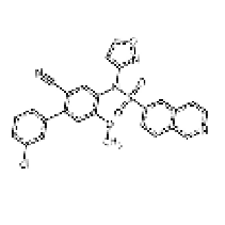 COc1cc(-c2cccc(Cl)c2)c(C#N)cc1N(c1ccon1)S(=O)(=O)c1ccc2cnccc2c1